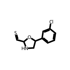 S=CC1NCC(c2cccc(Cl)c2)O1